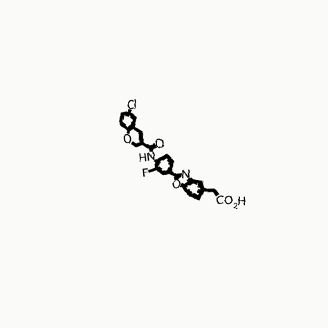 O=C(O)Cc1ccc2oc(-c3ccc(NC(=O)C4=Cc5cc(Cl)ccc5OC4)c(F)c3)nc2c1